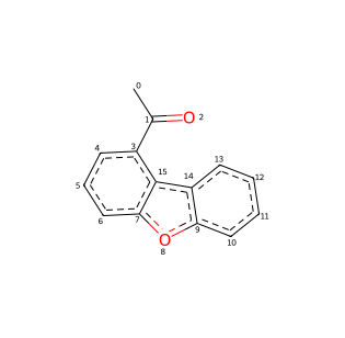 CC(=O)c1cccc2oc3ccccc3c12